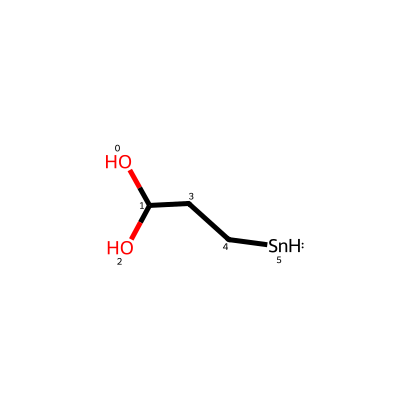 OC(O)C[CH2][SnH]